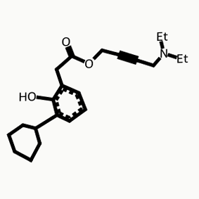 CCN(CC)CC#CCOC(=O)Cc1cccc(C2CCCCC2)c1O